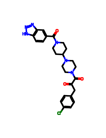 O=C(Cc1ccc(Cl)cc1)C(=O)N1CCN(C2CCN(C(=O)c3ccc4[nH]nnc4c3)CC2)CC1